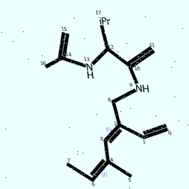 C=C/C(=C\C(C)=C/C)CNC(=C)C(NC(=C)C)C(C)C